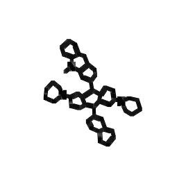 CN1C2=C(CCC(c3c4cc(N5CCCCC5)ccc4c(-c4ccc5ccccc5c4)c4cc(N5CCCCC5)ccc34)=C2)Cc2ccccc21